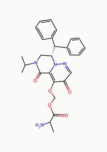 CC(N)C(=O)OCOc1c2n(ncc1=O)[C@@H](C(c1ccccc1)c1ccccc1)CN(C(C)C)C2=O